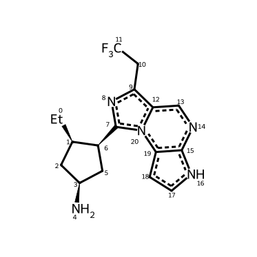 CC[C@@H]1C[C@H](N)C[C@@H]1c1nc(CC(F)(F)F)c2cnc3[nH]ccc3n12